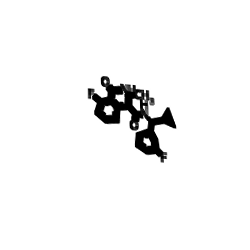 Cc1[nH]c(=O)c2c(F)cccc2c1C(=O)N[C@H](c1cccc(F)c1)C1CC1